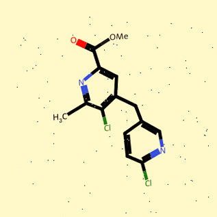 COC(=O)c1cc(Cc2ccc(Cl)nc2)c(Cl)c(C)n1